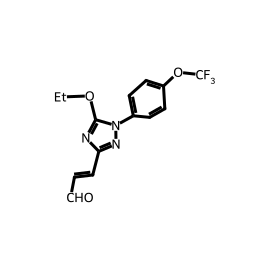 CCOc1nc(/C=C/C=O)nn1-c1ccc(OC(F)(F)F)cc1